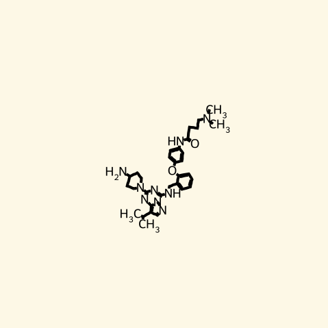 CC(C)c1cnn2c(NCc3ccccc3Oc3ccc(NC(=O)CCCN(C)C)cc3)nc(N3CCC(N)CC3)nc12